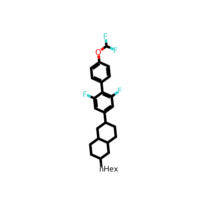 CCCCCCC1CCC2CC(c3cc(F)c(-c4ccc(OC(F)F)cc4)c(F)c3)CCC2C1